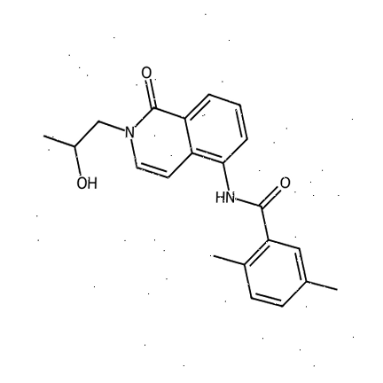 Cc1ccc(C)c(C(=O)Nc2cccc3c(=O)n(CC(C)O)ccc23)c1